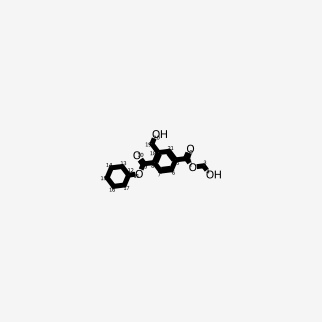 O=C(OCO)c1ccc(C(=O)OC2CCCCC2)c(CO)c1